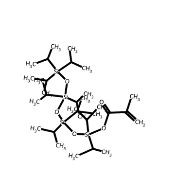 C=C(C)C(=O)O[Si](O[Si](O[Si](O[Si](C(C)C)(C(C)C)C(C)C)(C(C)C)C(C)C)(C(C)C)C(C)C)(C(C)C)C(C)C